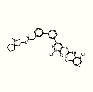 CCn1nc(-c2cccc(-c3cccc(CC(=O)NCCC4(N(C)C)CCCC4)c3)c2)cc(NC(=O)Nc2c(Cl)cncc2Cl)c1=O